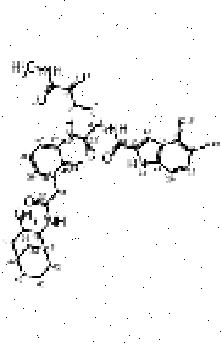 CNC(=O)C(=O)CC[C@H](NC(=O)c1cc2c(F)c(F)ccc2[nH]1)C(=O)Nc1cccn(CC(=O)NC2C(C)CC3CCCC2C3)c1=O